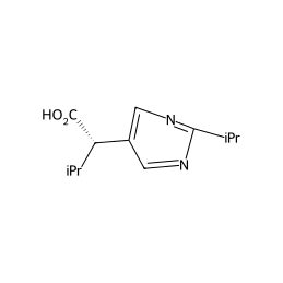 CC(C)c1ncc([C@@H](C(=O)O)C(C)C)cn1